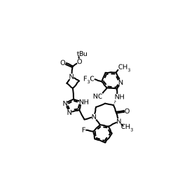 Cc1cc(C(F)(F)F)c(C#N)c(N[C@H]2CCN(Cc3nnc(C4CN(C(=O)OC(C)(C)C)C4)[nH]3)c3c(F)cccc3N(C)C2=O)n1